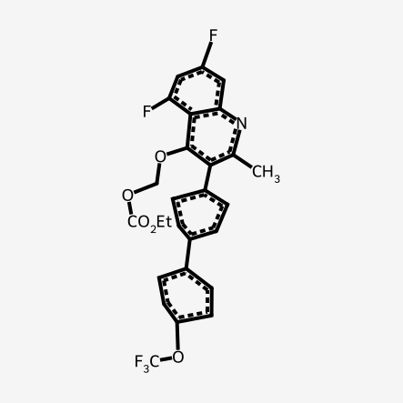 CCOC(=O)OCOc1c(-c2ccc(-c3ccc(OC(F)(F)F)cc3)cc2)c(C)nc2cc(F)cc(F)c12